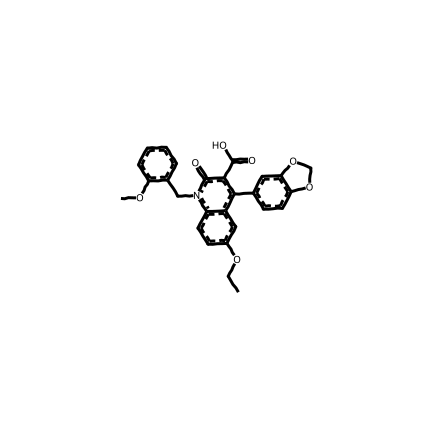 CCOc1ccc2c(c1)c(-c1ccc3c(c1)OCO3)c(C(=O)O)c(=O)n2Cc1ccccc1OC